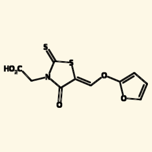 O=C(O)CN1C(=O)C(=COc2ccco2)SC1=S